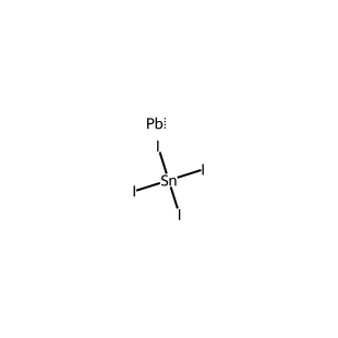 [I][Sn]([I])([I])[I].[Pb]